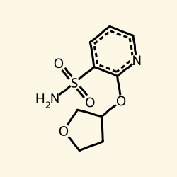 NS(=O)(=O)c1cccnc1OC1CCOC1